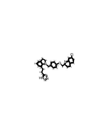 Clc1ccc2ccc(COc3ccc(CN4CCc5cccc(CCc6nnn[nH]6)c54)cc3)nc2c1